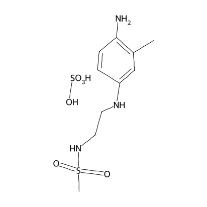 Cc1cc(NCCNS(C)(=O)=O)ccc1N.O=S(=O)(O)O